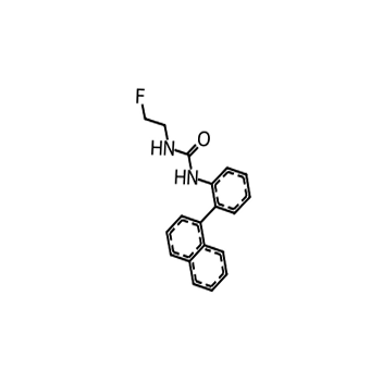 O=C(NCCF)Nc1ccccc1-c1cccc2ccccc12